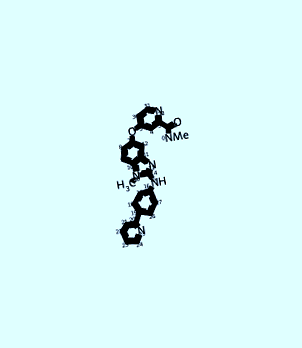 CNC(=O)c1cc(Oc2ccc3c(c2)nc(Nc2ccc(-c4ccccn4)cc2)n3C)ccn1